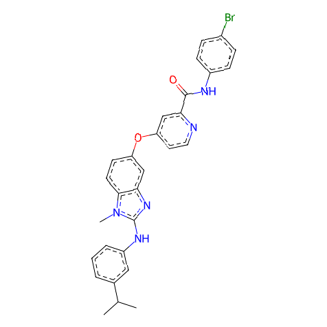 CC(C)c1cccc(Nc2nc3cc(Oc4ccnc(C(=O)Nc5ccc(Br)cc5)c4)ccc3n2C)c1